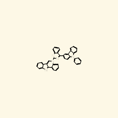 c1ccc(-n2c3ccccc3c3cc(-c4nc(-n5cc6c7ccccc7nc-6c6ccccc65)nc5ccccc45)ccc32)cc1